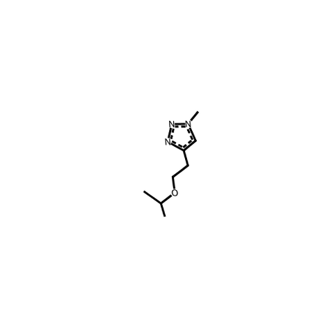 CC(C)OCCc1cn(C)nn1